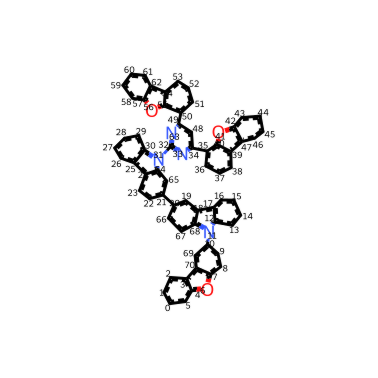 c1ccc2c(c1)oc1ccc(-n3c4ccccc4c4cc(-c5ccc6c7ccccc7n(-c7nc(-c8cccc9c8oc8ccccc89)cc(-c8cccc9c8oc8ccccc89)n7)c6c5)ccc43)cc12